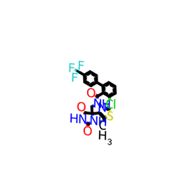 Cc1scnc1C1(CNC(=O)c2c(Cl)cccc2-c2ccc(C(F)(F)F)cc2)NC(=O)NC1=O